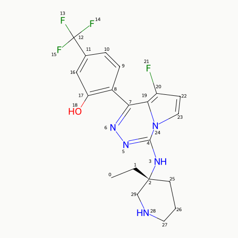 CC[C@@]1(Nc2nnc(-c3ccc(C(F)(F)F)cc3O)c3c(F)ccn23)CCCNC1